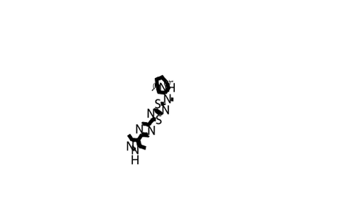 Cc1n[nH]c(C)c1-c1cnc(-c2nc3sc(N(C)C4C[C@]5(C)CC[C@](C)(C4)N5)nc3s2)cn1